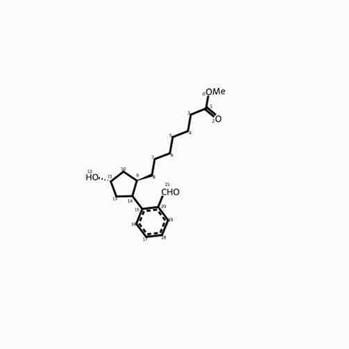 COC(=O)CCCCCC[C@@H]1C[C@@H](O)CC1c1ccccc1C=O